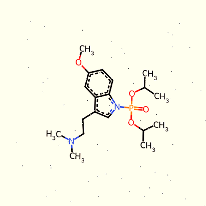 COc1ccc2c(c1)c(CCN(C)C)cn2P(=O)(OC(C)C)OC(C)C